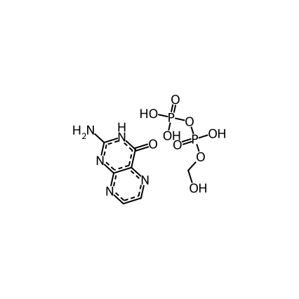 Nc1nc2nccnc2c(=O)[nH]1.O=P(O)(O)OP(=O)(O)OCO